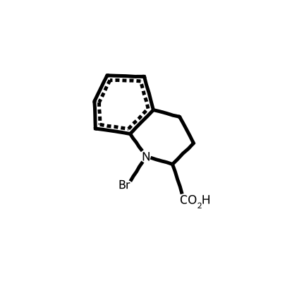 O=C(O)C1CCc2ccccc2N1Br